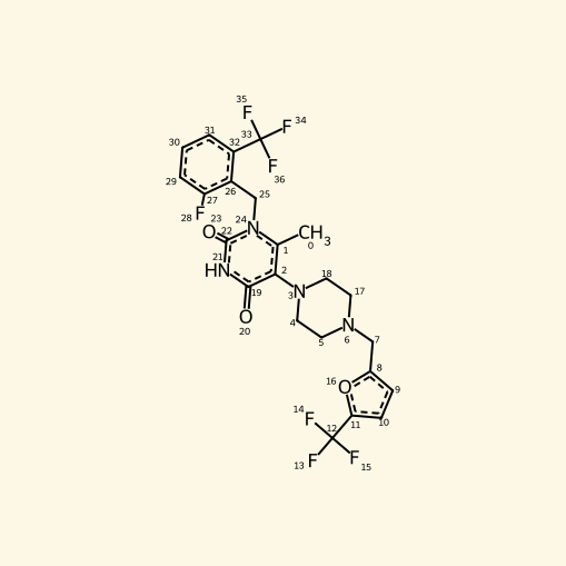 Cc1c(N2CCN(Cc3ccc(C(F)(F)F)o3)CC2)c(=O)[nH]c(=O)n1Cc1c(F)cccc1C(F)(F)F